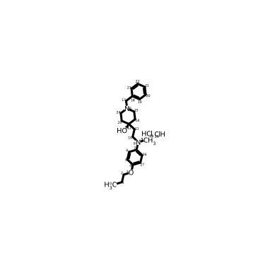 CCCOc1ccc(N(C)CCC2(O)CCN(Cc3ccccc3)CC2)cc1.Cl.Cl